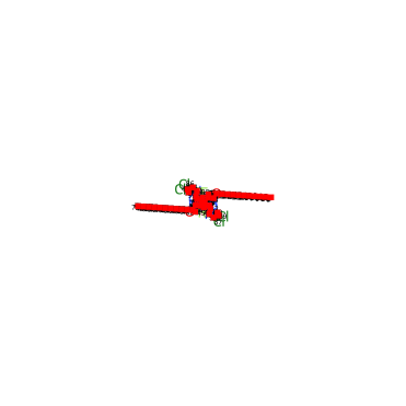 CCCCCCCCCCCCCCCCCCCCOc1ccc(-c2c3/c(=C(\C#N)c4cnc5cc(Cl)c(Cl)cc5n4)n(B(F)F)c(-c4ccc(OCCCCCCCCCCCCCCCCCCCC)cc4)c3/c(=C(\C#N)c3cnc4cc(Cl)c(Cl)cc4n3)n2B(F)F)cc1